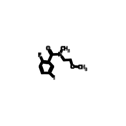 COCCN(C)C(=O)c1cc(I)ccc1F